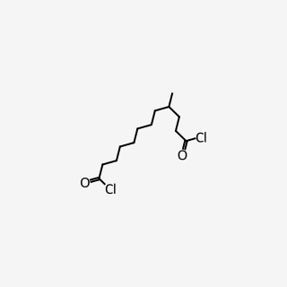 CC(CCCCCCCC(=O)Cl)CCC(=O)Cl